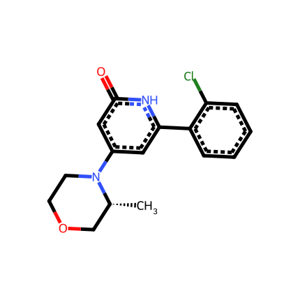 C[C@@H]1COCCN1c1cc(-c2ccccc2Cl)[nH]c(=O)c1